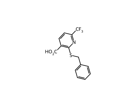 O=C(O)c1ccc(C(F)(F)F)nc1SCc1ccccc1